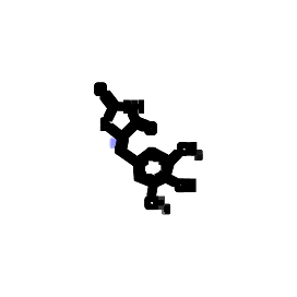 Cc1cc(/C=C2/SC(=O)NC2=O)cc(C)c1O